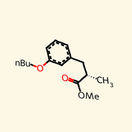 CCCCOc1cccc(C[C@H](C)C(=O)OC)c1